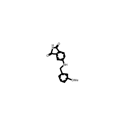 COc1cccc(CNc2ccc3c(c2)C(=O)NC3=O)c1